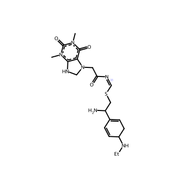 CCNC1C=CC(C(N)CS/C=N\C(=O)CN2CNc3c2c(=O)n(C)c(=O)n3C)=CC1